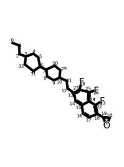 CCCC1CCC(C2CCC(CCc3cc4ccc(C5CO5)c(F)c4c(F)c3F)CC2)CC1